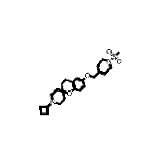 CS(=O)(=O)N1CCC(COc2ccc3c(c2)CCC2(CCN(C4CCC4)CC2)O3)CC1